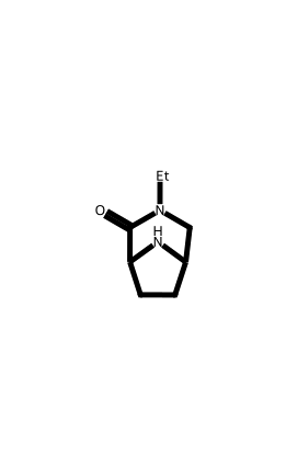 CCN1CC2CCC(N2)C1=O